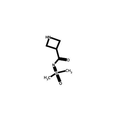 CS(C)(=O)=NC(=O)C1CNC1